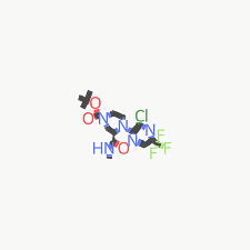 CNC(=O)[C@H]1CN(C(=O)OC(C)(C)C)CCN1c1ncc(C(F)(F)F)nc1Cl